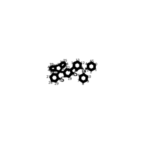 c1ccc(N(c2ccccc2)c2cccc3c2sc2cc4c(cc23)C2(c3ccccc3S4)c3ccccc3-c3ccccc32)cc1